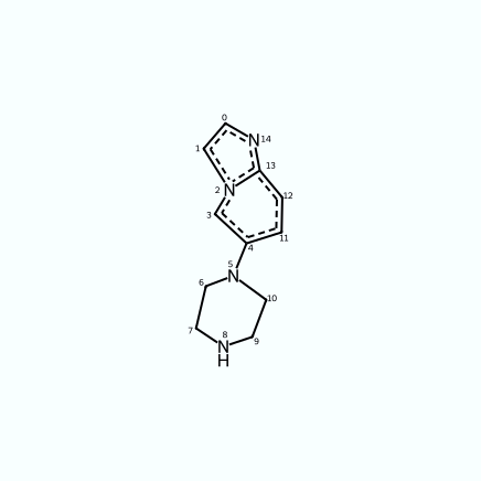 c1cn2cc(N3CCNCC3)ccc2n1